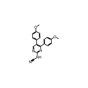 COc1ccc(-c2cnc(NC#N)nc2-c2ccc(OC)cc2)cc1